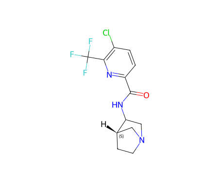 O=C(NC1CN2CC[C@H]1C2)c1ccc(Cl)c(C(F)(F)F)n1